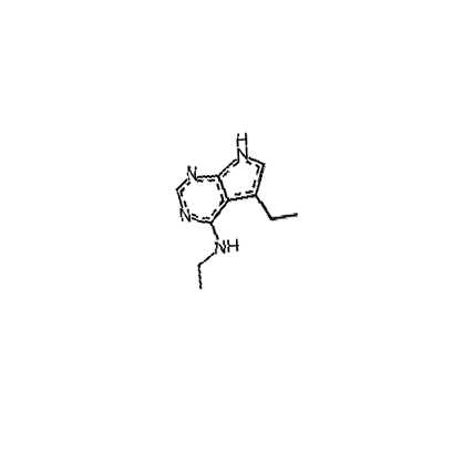 CCNc1ncnc2[nH]cc(CC)c12